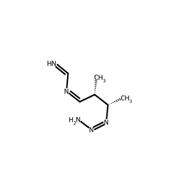 C[C@H](/N=N\N)[C@@H](C)/C=N\C=N